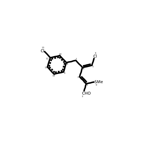 CS/C(C=O)=C\C(=C\Cl)Cc1cccc(Cl)c1